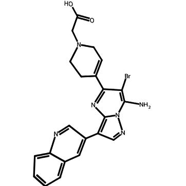 Nc1c(Br)c(C2=CCN(CC(=O)O)CC2)nc2c(-c3cnc4ccccc4c3)cnn12